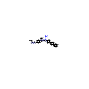 C=C/C=C\C=C\c1ccc(/C(C=C)=C/C=C/Nc2ccc(-c3ccc(-c4ccccc4)cc3)cc2)cc1